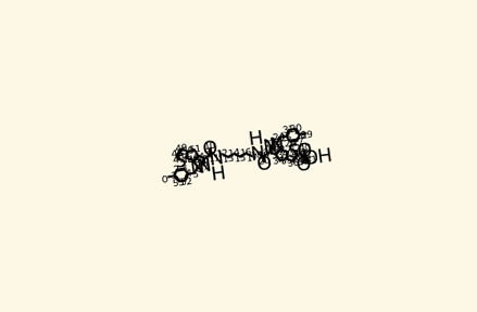 Cc1ccc(Cn2nc(C(=O)NCCCCCCNC(=O)c3nn(Cc4ccc(C)cc4)c4c3Cc3cc(S(=O)(=O)O)sc3-4)c3c2-c2sccc2C3)cc1